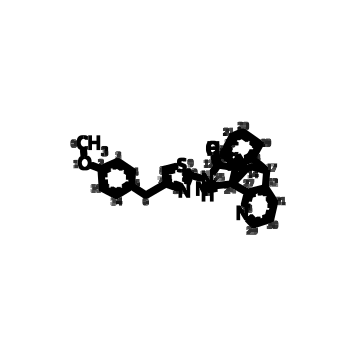 COc1ccc(Cc2csc(NC(=O)C3(C)CC4c5ccccc5C3(C#N)c3ncccc34)n2)cc1